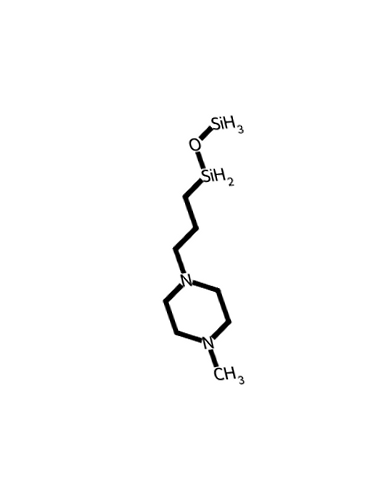 CN1CCN(CCC[SiH2]O[SiH3])CC1